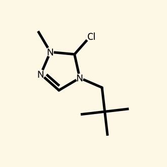 CN1N=CN(CC(C)(C)C)C1Cl